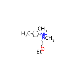 CCOCCCN(C)NC1=CC=C(C)CC1C